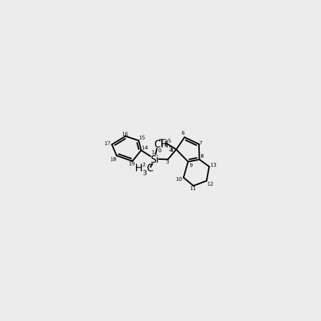 C[Si](C)(C[C]1([Ti])C=CC2=C1CCCC2)c1ccccc1